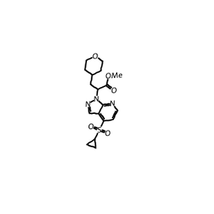 COC(=O)C(CC1CCOCC1)n1ncc2c(S(=O)(=O)C3CC3)ccnc21